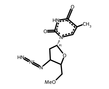 COCC1O[C@@H](n2cc(C)c(=O)[nH]c2=O)CC1N=[N+]=N